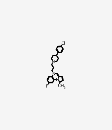 CC1C=CC2=CN(CCCN3CCC(c4ccc(Cl)cc4)CC3)c3ccc(F)cc3N21